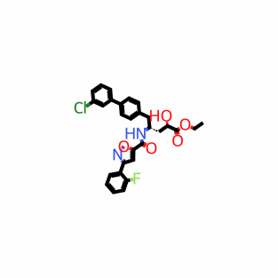 CCOC(=O)[C@H](O)C[C@@H](Cc1ccc(-c2cccc(Cl)c2)cc1)NC(=O)c1cc(-c2ccccc2F)no1